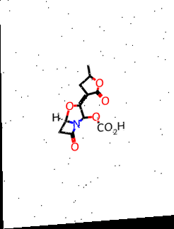 CC1CC(=C2O[C@@H]3CC(=O)N3C2OC(=O)O)C(=O)O1